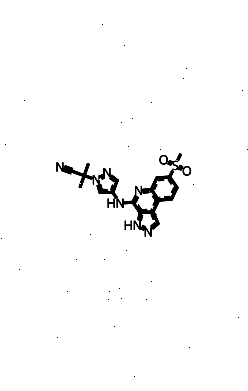 CC(C)(C#N)n1cc(Nc2nc3cc(S(C)(=O)=O)ccc3c3cn[nH]c23)cn1